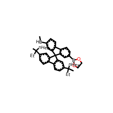 CBc1ccc2c(c1)C1(c3cc(B4OCCO4)ccc3-2)c2cc(C(C)(CC)CCCCCC)ccc2-c2ccc(C(C)(CC)CCCCCC)cc21